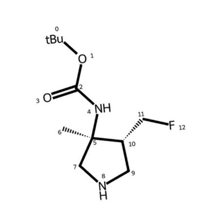 CC(C)(C)OC(=O)N[C@]1(C)CNC[C@H]1CF